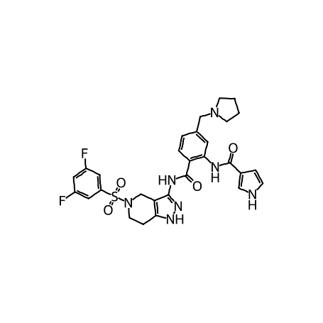 O=C(Nc1cc(CN2CCCC2)ccc1C(=O)Nc1n[nH]c2c1CN(S(=O)(=O)c1cc(F)cc(F)c1)CC2)c1cc[nH]c1